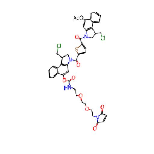 CC(=O)Oc1cc2c(c3ccccc13)C(CCl)CN2C(=O)c1ccc(C(=O)N2CC(CCl)c3c2cc(OC(=O)NCCOCCOCCN2C(=O)C=CC2=O)c2ccccc32)s1